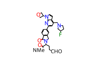 CNC(=O)C(CCC=O)N1Cc2cc(-c3cc(CN4CCC(F)C4)c4ccn(C5COC5)c4n3)ccc2C1=O